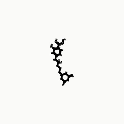 C=C1CC(C)CC(CCCNCc2ccc(C(=O)OC)c(F)c2)C1